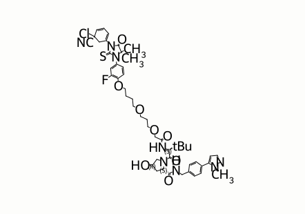 Cn1nccc1-c1ccc(CNC(=O)[C@@H]2C[C@@H](O)CN2C(=O)[C@@H](NC(=O)COCCCOCCCCOc2ccc(N3C(=S)N(C4=CC=CC(Cl)(C#N)C4)C(=O)C3(C)C)cc2F)C(C)(C)C)cc1